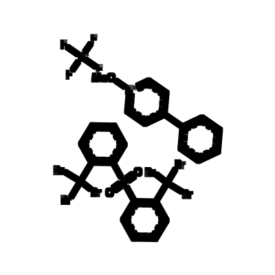 CO[n+]1ccc(-c2ccccc2)cc1.F[B-](F)(F)F.O=S(=O)(c1ccccc1C(Br)(Br)Br)c1ccccc1C(Br)(Br)Br